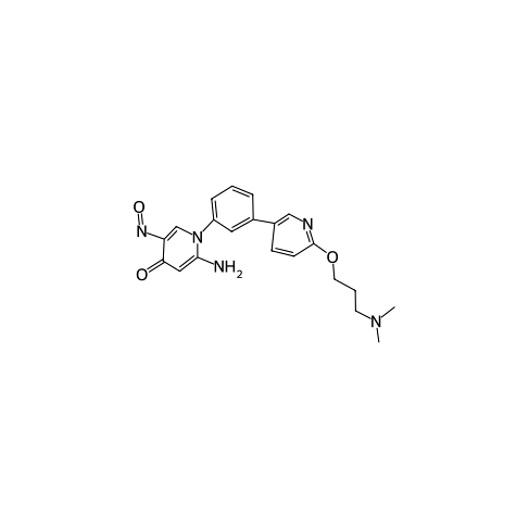 CN(C)CCCOc1ccc(-c2cccc(-n3cc(N=O)c(=O)cc3N)c2)cn1